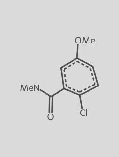 CNC(=O)c1cc(OC)ccc1Cl